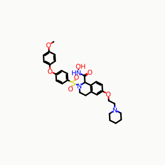 COc1ccc(Oc2ccc(S(=O)(=O)N3CCc4cc(OCCN5CCCCC5)ccc4C3C(=O)NO)cc2)cc1